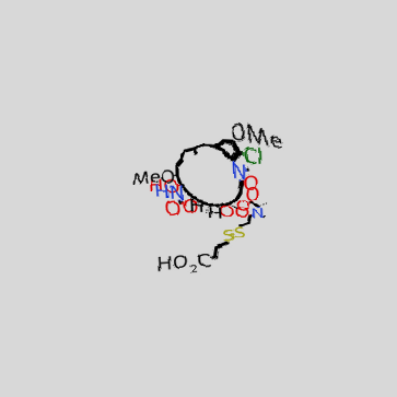 COc1cc2cc(c1Cl)N(C)C(=O)C[C@H](OC(=O)[C@H](C)N(C)C(=O)CCSSCCCC(=O)O)[C@]1(C)O[C@H]1[C@H](C)[C@@H]1C[C@@](O)(NC(=O)O1)[C@H](OC)/C=C/C=C(\C)C2